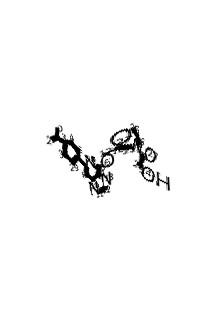 CC(C)c1ccc(-c2cc3nccnc3c(OC[C@@H]3CN(C(=O)CO)CCO3)n2)cc1